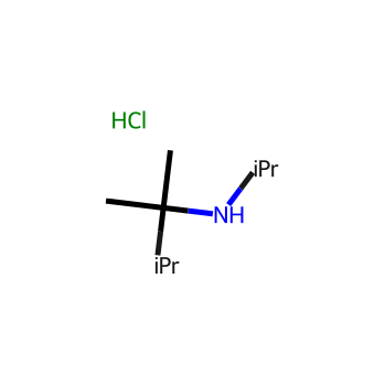 CC(C)NC(C)(C)C(C)C.Cl